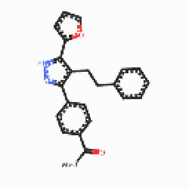 COC(=O)c1ccc(-c2n[nH]c(-c3ccco3)c2CCc2ccccc2)cc1